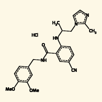 COc1ccc(CNC(=O)c2cc(C#N)ccc2NC(C)Cn2ccnc2C)cc1OC.Cl